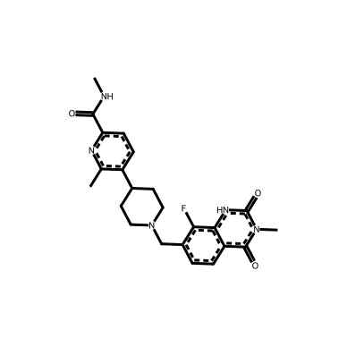 CNC(=O)c1ccc(C2CCN(Cc3ccc4c(=O)n(C)c(=O)[nH]c4c3F)CC2)c(C)n1